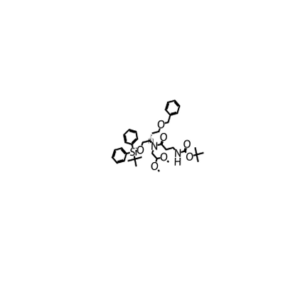 COC(CN(C(=O)CCNC(=O)OC(C)(C)C)[C@@H](CCOCc1ccccc1)CO[Si](c1ccccc1)(c1ccccc1)C(C)(C)C)OC